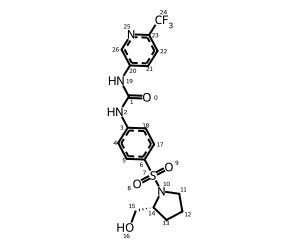 O=C(Nc1ccc(S(=O)(=O)N2CCC[C@@H]2CO)cc1)Nc1ccc(C(F)(F)F)nc1